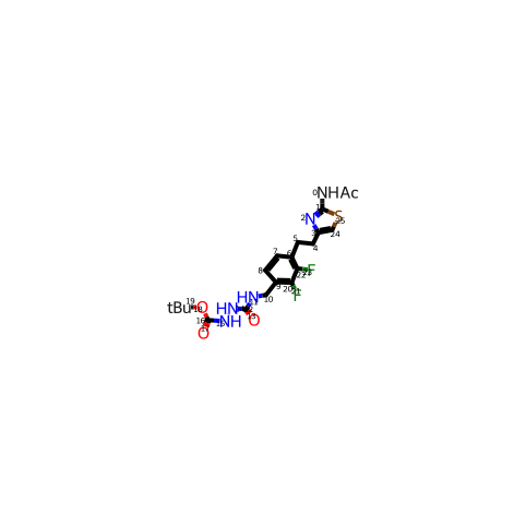 CC(=O)Nc1nc(CCc2ccc(CNC(=O)NNC(=O)OC(C)(C)C)c(F)c2F)cs1